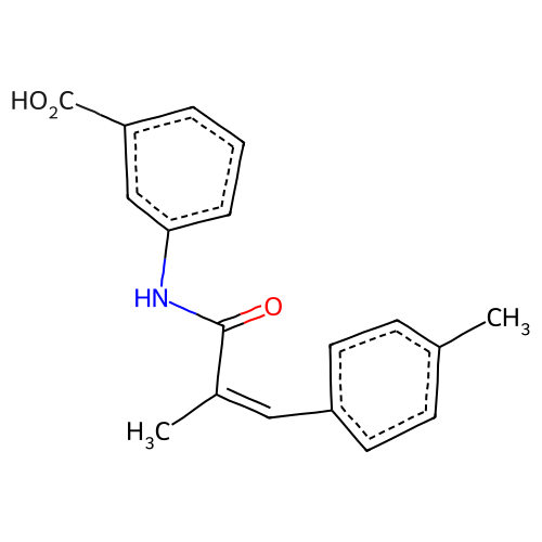 CC(=Cc1ccc(C)cc1)C(=O)Nc1cccc(C(=O)O)c1